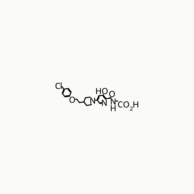 O=C(O)CNC(=O)c1ncc(N2CCC(CCOc3ccc(Cl)cc3)CC2)cc1O